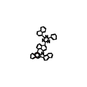 c1ccc(-c2nc(-c3cccc4ccccc34)nc(-c3ccc(-n4c5cc6ccccc6cc5c5ccc6ccccc6c54)c4c(-c5ccccc5)cccc34)n2)cc1